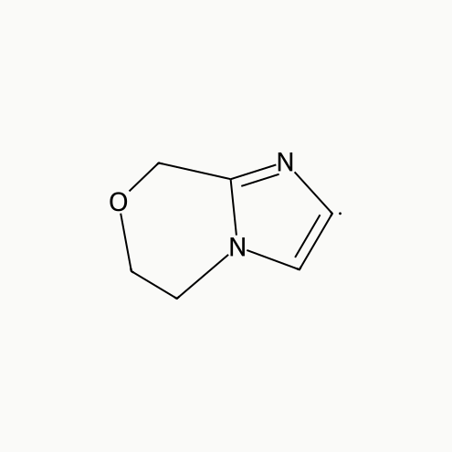 [c]1cn2c(n1)COCC2